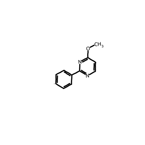 COc1ccnc(-c2cc[c]cc2)n1